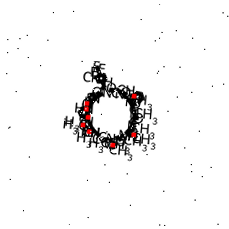 CC[C@H](C)[C@@H]1NC(=O)[C@H](CC(C)C)N(C)C(=O)C[C@@H](C)NC(=O)[C@H](C(C)C)N(C)C(=O)C2(CCCCC2)NC(=O)[C@@H]2CCCN2C(=O)[C@H](CCc2ccc(C(F)(F)F)c(Cl)c2)NC(=O)CN(C)C(=O)[C@H](CC2CCCCC2)N(C)C(=O)CN(C)C(=O)CN(C)C1=O